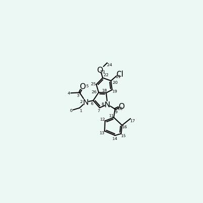 CCN(C(C)=O)c1cn(C(=O)c2ccccc2C)c2cc(Cl)c(OC)cc12